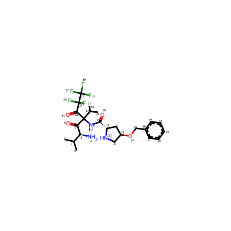 CC(C)[C@H](N)C(=O)C(NC(=O)[C@@H]1CC(OCc2ccccc2)CN1)(C(=O)C(F)(F)C(F)(F)F)C(C)C